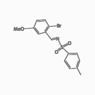 COc1ccc(Br)c(/C=N/S(=O)(=O)c2ccc(C)cc2)c1